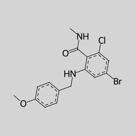 CNC(=O)c1c(Cl)cc(Br)cc1NCc1ccc(OC)cc1